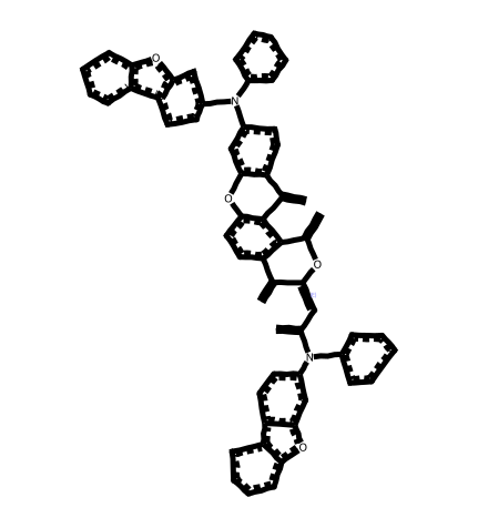 C=C1/C(=C\C(=C)N(c2ccccc2)c2ccc3c(c2)oc2ccccc23)OC(=C)c2c1ccc1c2C(=C)c2ccc(N(c3ccccc3)c3ccc4c(c3)oc3ccccc34)cc2O1